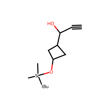 C#CC(O)C1CC(O[Si](C)(C)C(C)(C)C)C1